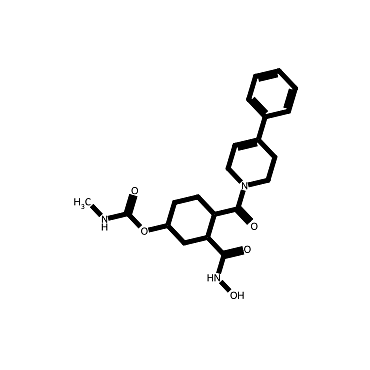 CNC(=O)OC1CCC(C(=O)N2CC=C(c3ccccc3)CC2)C(C(=O)NO)C1